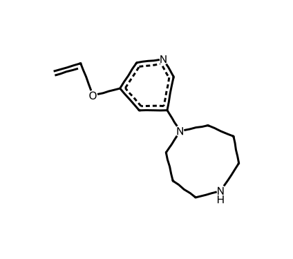 C=COc1cncc(N2CCCNCCC2)c1